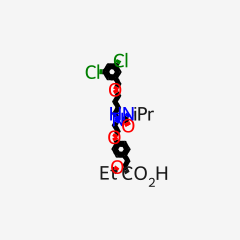 CCOC(Cc1ccc(OCCN(CCCCOCc2cc(Cl)cc(Cl)c2)C(=O)NC(C)C)cc1)C(=O)O